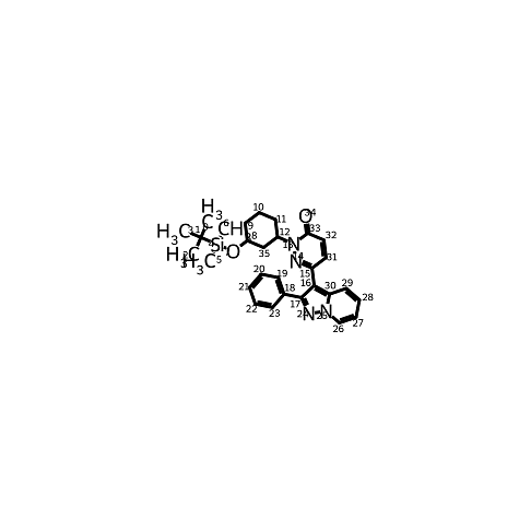 CC(C)(C)[Si](C)(C)OC1CCCC(n2nc(-c3c(-c4ccccc4)nn4ccccc34)ccc2=O)C1